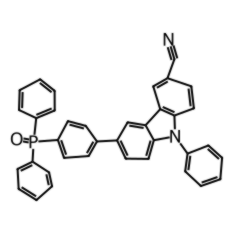 N#Cc1ccc2c(c1)c1cc(-c3ccc(P(=O)(c4ccccc4)c4ccccc4)cc3)ccc1n2-c1ccccc1